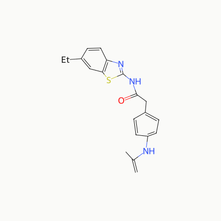 C=C(C)Nc1ccc(CC(=O)Nc2nc3ccc(CC)cc3s2)cc1